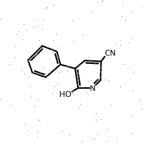 N#Cc1cnc(O)c(-c2ccccc2)c1